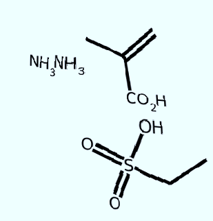 C=C(C)C(=O)O.CCS(=O)(=O)O.N.N